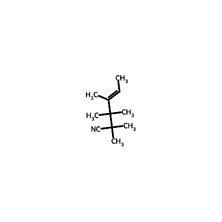 CC=C(C)C(C)(C)C(C)(C)C#N